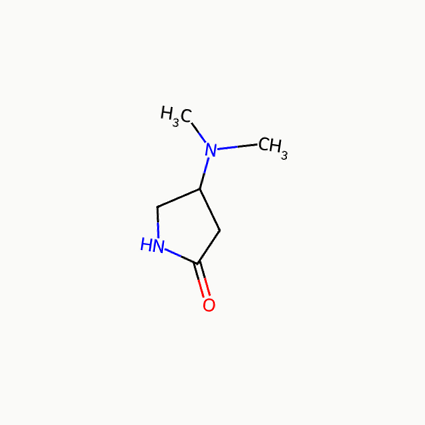 CN(C)C1CNC(=O)C1